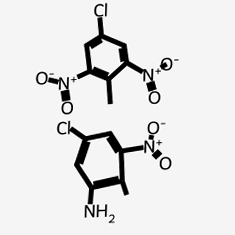 Cc1c(N)cc(Cl)cc1[N+](=O)[O-].Cc1c([N+](=O)[O-])cc(Cl)cc1[N+](=O)[O-]